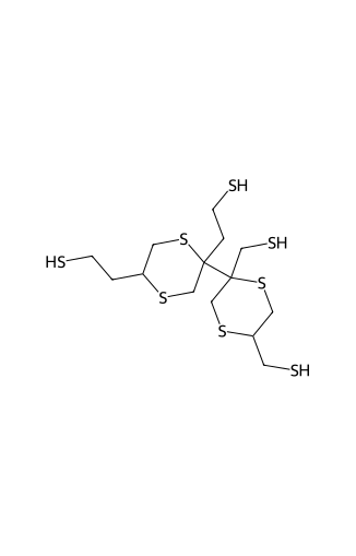 SCCC1CSC(CCS)(C2(CS)CSC(CS)CS2)CS1